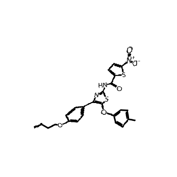 CCCCOc1ccc(-c2nc(NC(=O)c3ccc([N+](=O)[O-])s3)sc2Oc2ccc(C)cc2)cc1